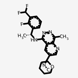 Cc1nnc(N[C@H](C)c2cccc(C(F)F)c2F)c2cc(N3CC4CCC3CO4)cnc12